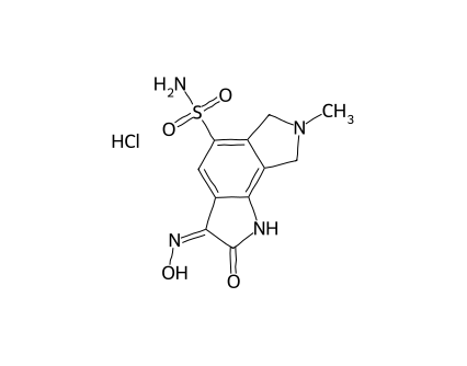 CN1Cc2c(S(N)(=O)=O)cc3c(c2C1)NC(=O)/C3=N\O.Cl